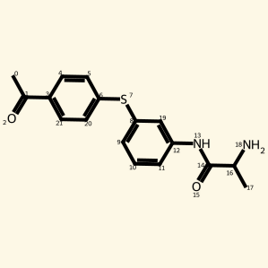 CC(=O)c1ccc(Sc2cccc(NC(=O)C(C)N)c2)cc1